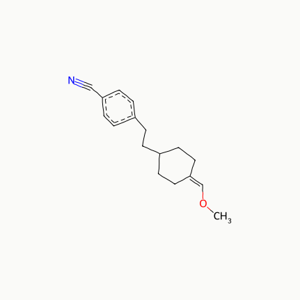 COC=C1CCC(CCc2ccc(C#N)cc2)CC1